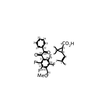 CC(C)=CC1C(C(=O)O)C1(C)C.COCc1c(F)c(F)c(C(=O)C(=O)c2ccccc2)c(F)c1F